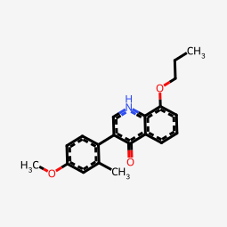 CCCOc1cccc2c(=O)c(-c3ccc(OC)cc3C)c[nH]c12